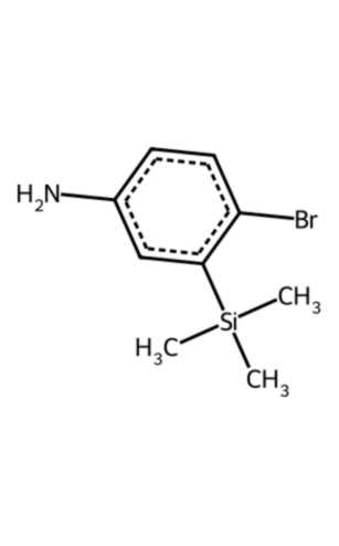 C[Si](C)(C)c1cc(N)ccc1Br